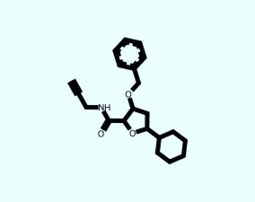 C#CCNC(=O)C1OC(C2CCCCC2)CC1OCc1ccccc1